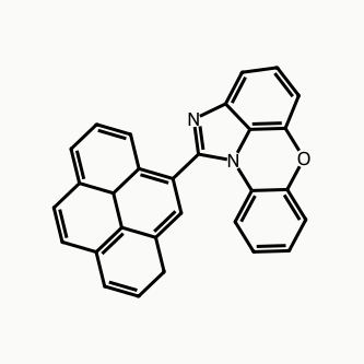 C1=CC2=C(c3nc4cccc5c4n3-c3ccccc3O5)C=C3CC=CC4=C3C2C(=C1)C=C4